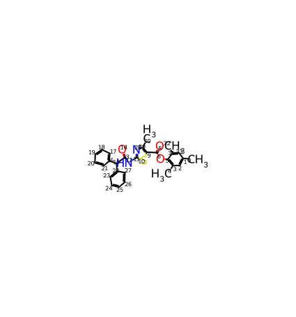 Cc1cc(C)c(OC(=O)c2sc(NC(=O)C(c3ccccc3)c3ccccc3)nc2C)c(C)c1